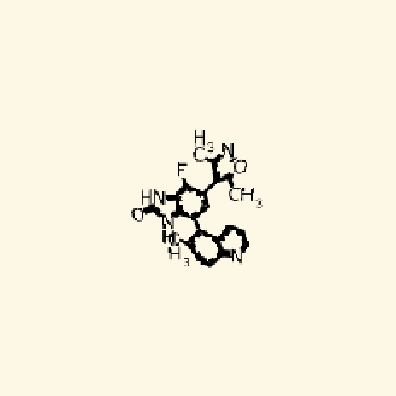 Cc1ccc2ncccc2c1-c1cc(-c2c(C)noc2C)c(F)c2[nH]c(=O)[nH]c12